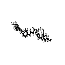 CN(CCCc1ccc(CNC(=O)OC(C)(C)C)cc1)CCNC(=O)c1cc2cc(Br)ccc2[nH]1